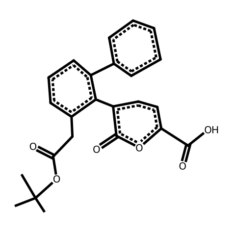 CC(C)(C)OC(=O)Cc1cccc(-c2ccccc2)c1-c1ccc(C(=O)O)oc1=O